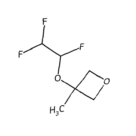 CC1(OC(F)C(F)F)COC1